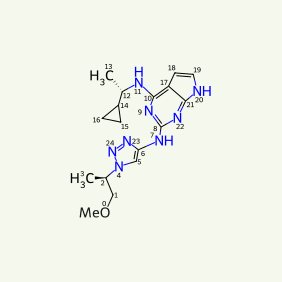 COC[C@@H](C)n1cc(Nc2nc(N[C@@H](C)C3CC3)c3cc[nH]c3n2)nn1